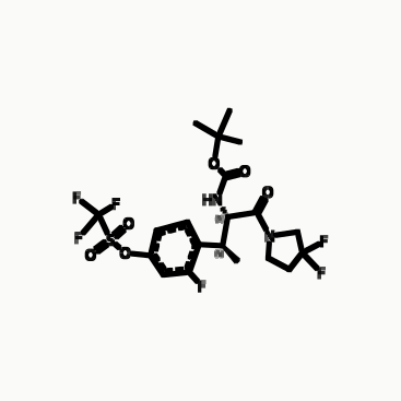 C[C@@H](c1ccc(OS(=O)(=O)C(F)(F)F)cc1F)[C@H](NC(=O)OC(C)(C)C)C(=O)N1CCC(F)(F)C1